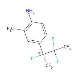 Nc1ccc([C@@](F)(C(F)(F)F)C(F)(F)C(F)(F)F)cc1C(F)(F)F